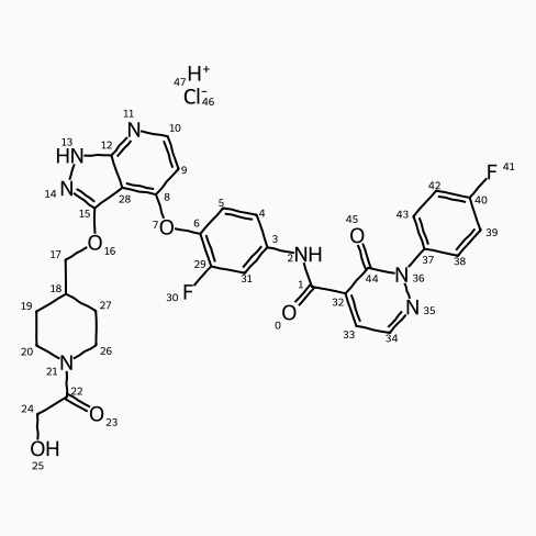 O=C(Nc1ccc(Oc2ccnc3[nH]nc(OCC4CCN(C(=O)CO)CC4)c23)c(F)c1)c1ccnn(-c2ccc(F)cc2)c1=O.[Cl-].[H+]